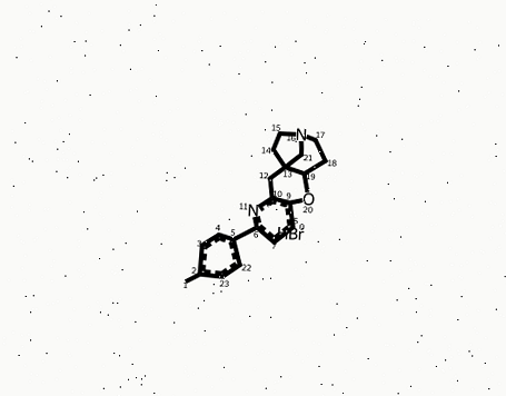 Br.Cc1ccc(-c2ccc3c(n2)CC24CCN(CCC2O3)C4)cc1